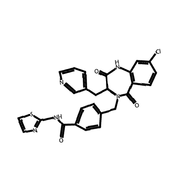 O=C(Nc1nccs1)c1ccc(CN2C(=O)c3ccc(Cl)cc3NC(=O)C2Cc2cccnc2)cc1